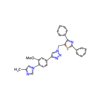 COc1cc(-c2cn(Cc3sc(-c4ccccc4)nc3-c3ccccc3)nn2)ccc1-n1cnc(C)c1